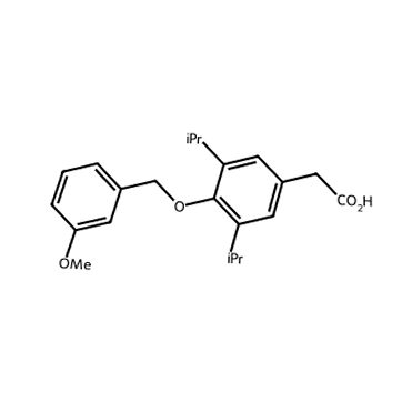 COc1cccc(COc2c(C(C)C)cc(CC(=O)O)cc2C(C)C)c1